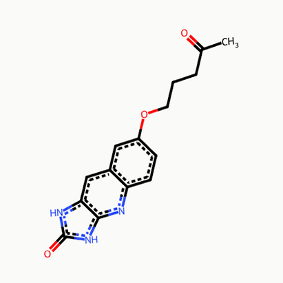 CC(=O)CCCOc1ccc2nc3[nH]c(=O)[nH]c3cc2c1